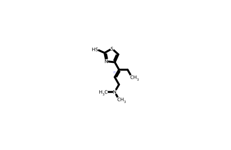 CC/C(=C\CN(C)C)c1csc(S)n1